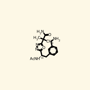 CC(=O)N[C@@H](Cc1cccc(CN)c1)c1nnc(C(C)(C)C(N)=O)o1